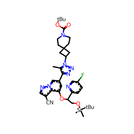 Cc1c(-c2cc(OC(CO[Si](C)(C)C(C)(C)C)c3ccc(F)cn3)c3c(C#N)cnn3c2)nnn1C1CC2(CCN(C(=O)OC(C)(C)C)CC2)C1